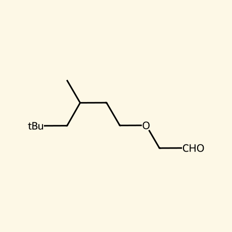 CC(CCOCC=O)CC(C)(C)C